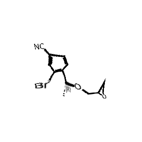 C[C@@H](OCC1CO1)c1ccc(C#N)cc1Br